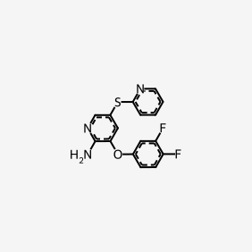 Nc1ncc(Sc2ccccn2)cc1Oc1ccc(F)c(F)c1